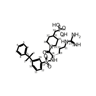 CC(C)(c1ccccc1)c1cccc(S(=O)(=O)N[C@@H](CCCNC(=N)N)C(=O)N2CCC(CP(=O)(O)O)CC2)c1